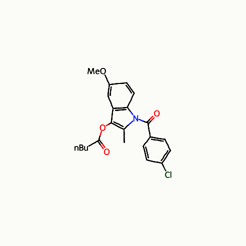 CCCCC(=O)Oc1c(C)n(C(=O)c2ccc(Cl)cc2)c2ccc(OC)cc12